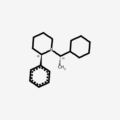 C[C@@H](C1CCCCC1)N1CCCC[C@@H]1c1ccccc1